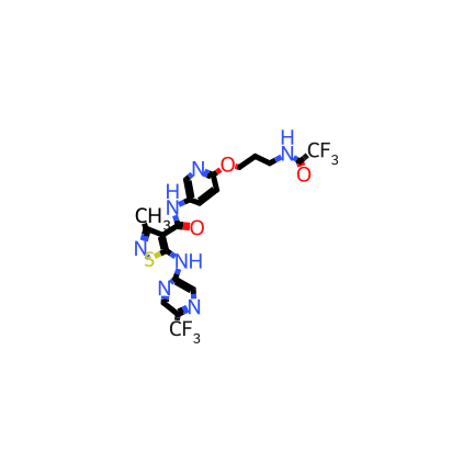 Cc1nsc(Nc2cnc(C(F)(F)F)cn2)c1C(=O)Nc1ccc(OCCCNC(=O)C(F)(F)F)nc1